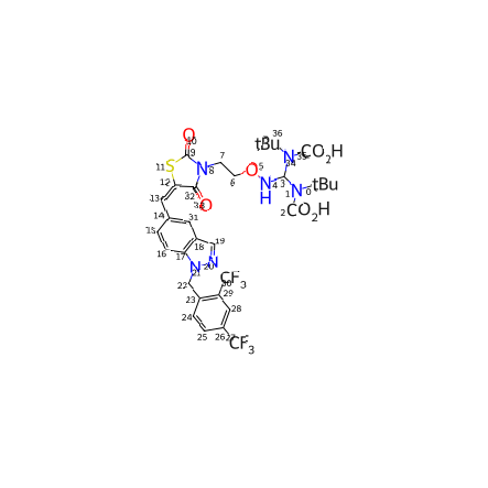 CC(C)(C)N(C(=O)O)C(NOCCN1C(=O)SC(=Cc2ccc3c(cnn3Cc3ccc(C(F)(F)F)cc3C(F)(F)F)c2)C1=O)N(C(=O)O)C(C)(C)C